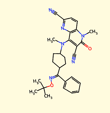 CN(c1c(C#N)c(=O)n(C)c2ccc(C#N)nc12)C1CCC(/C(=N/OC(C)(C)C)c2ccccc2)CC1